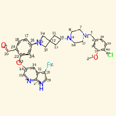 COc1cc(CN2CCN(C3CC4(C3)CN(c3ccc(C=O)c(Oc5cnc6[nH]cc(F)c6c5)c3)C4)CC2)ccc1Cl